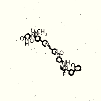 Cn1c(=O)n(C2CCC(=O)NC2=O)c2ccc(C3CCN(CCC4CCN(C(=O)[C@@H]5CCC[C@H](Nc6ncc(F)c(-c7cccc(-n8ccccc8=O)c7)n6)C5)CC4)CC3)cc21